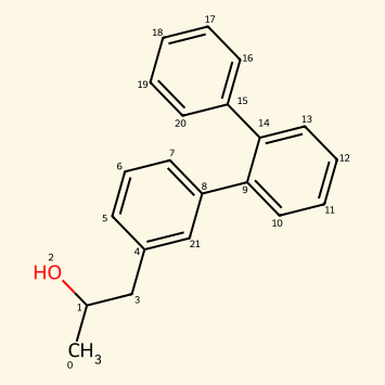 CC(O)Cc1cccc(-c2ccccc2-c2ccccc2)c1